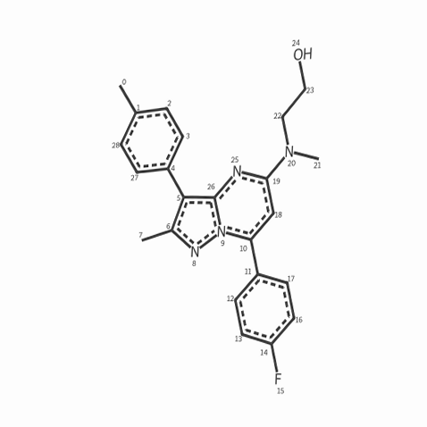 Cc1ccc(-c2c(C)nn3c(-c4ccc(F)cc4)cc(N(C)CCO)nc23)cc1